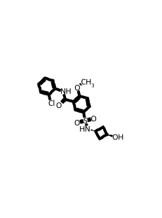 COc1ccc(S(=O)(=O)N[C@H]2C[C@H](O)C2)cc1C(=O)Nc1ccccc1Cl